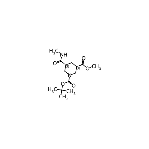 CNC(=O)[C@H]1C[C@@H](C(=O)OC)CN(C(=O)OC(C)(C)C)C1